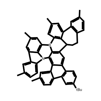 Cc1ccc2c(c1)-c1cc(C)cc3c1C(CC2)c1cc2c4ccc(C(C)(C)C)cc4c4ccc(C)cc4c2c2c1B3c1cc(C)cc3c4cc(C)ccc4n-2c13